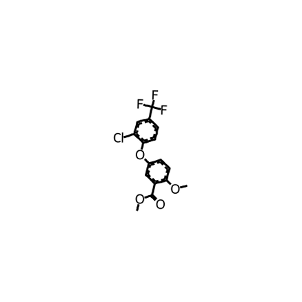 COC(=O)c1cc(Oc2ccc(C(F)(F)F)cc2Cl)ccc1OC